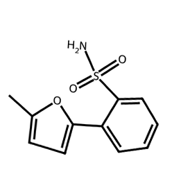 Cc1ccc(-c2ccccc2S(N)(=O)=O)o1